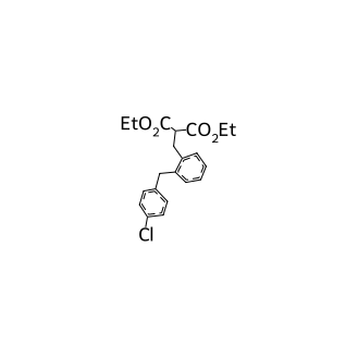 CCOC(=O)C(Cc1ccccc1Cc1ccc(Cl)cc1)C(=O)OCC